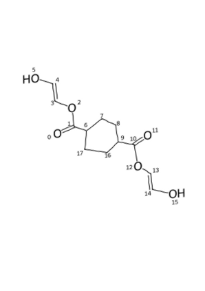 O=C(OC=CO)C1CCC(C(=O)OC=CO)CC1